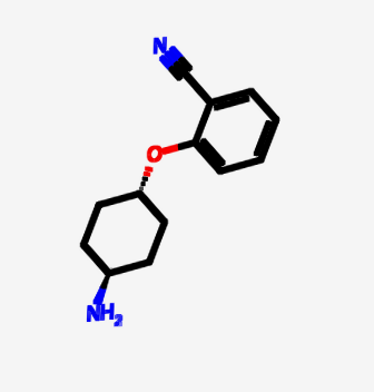 N#Cc1ccccc1O[C@H]1CC[C@H](N)CC1